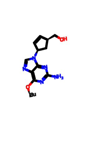 CC[C@H](C)Oc1nc(N)nc2c1ncn2[C@H]1C=C[C@@H](CO)C1